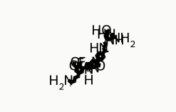 C[C@H](N)CCCc1cc(OC(F)(F)F)c(F)c(-c2cc3cn(-c4ccc([C@H](C)NCC[C@H](CCO)NC(=N)N)cc4)c(=O)nc3[nH]2)c1